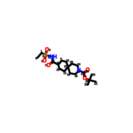 CCS(=O)(=O)NC(=O)C1CCC2(CC1)CCN(C(=O)OC(C)(C)C)CC2